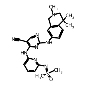 CN1Cc2cc(Nc3ncc(C#N)c(Nc4cccc(N=S(C)(C)=O)n4)n3)ccc2C(C)(C)C1